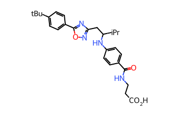 CC(C)C(Cc1noc(-c2ccc(C(C)(C)C)cc2)n1)Nc1ccc(C(=O)NCCC(=O)O)cc1